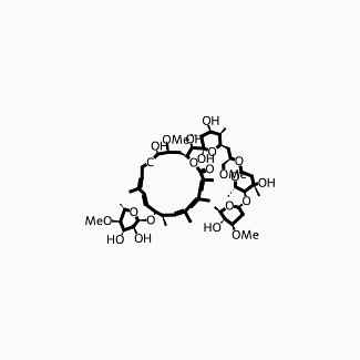 COC[C@@H](C[C@H]1O[C@@](O)([C@H](O)[C@@H]2C[C@H](OC)[C@@H](O)CC/C=C(C)/C=C/[C@@H](O[C@@H]3O[C@@H](C)[C@H](OC)[C@@H](O)[C@@H]3O)[C@H](C)/C=C(C)/C=C(C)/C=C(\C)C(=O)O2)[C@H](C)[C@@H](O)[C@H]1C)OC1C[C@](C)(O)[C@@H](O[C@H]2C[C@@H](OC)[C@H](O)[C@@H](C)O2)[C@H](C)O1